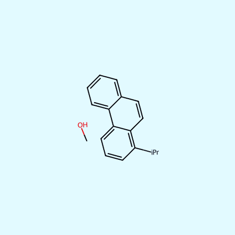 CC(C)c1cccc2c1ccc1ccccc12.CO